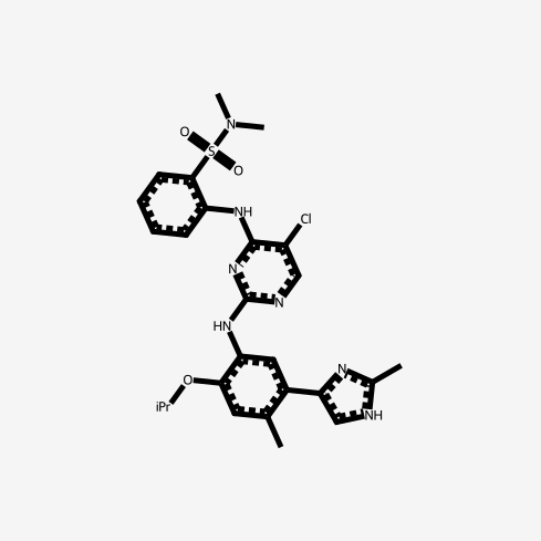 Cc1nc(-c2cc(Nc3ncc(Cl)c(Nc4ccccc4S(=O)(=O)N(C)C)n3)c(OC(C)C)cc2C)c[nH]1